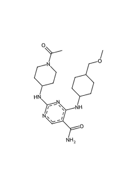 COCC1CCC(Nc2nc(NC3CCN(C(C)=O)CC3)ncc2C(N)=O)CC1